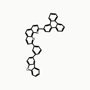 c1cc(-c2ccc3oc4ccccc4c3c2)cc(-c2ccc3ccc4ccc(-c5ccc6c7ccccc7c7ccccc7c6c5)nc4c3n2)c1